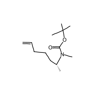 C=CCCC[C@@H](C)N(C)C(=O)OC(C)(C)C